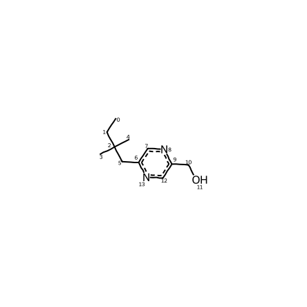 CCC(C)(C)Cc1cnc(CO)cn1